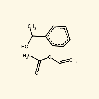 C=COC(C)=O.CC(O)c1ccccc1